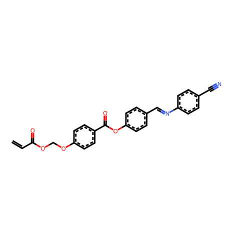 C=CC(=O)OCOc1ccc(C(=O)Oc2ccc(/C=N/c3ccc(C#N)cc3)cc2)cc1